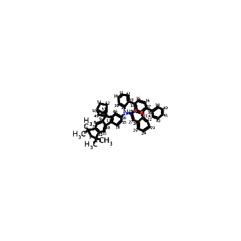 CC1(C)CC(C)(C)c2cc3c(cc21)-c1ccc(N(c2ccc4ccccc4c2)c2ccccc2-c2ccc(-c4ccccc4)cc2)cc1C31CC2CCC1C2